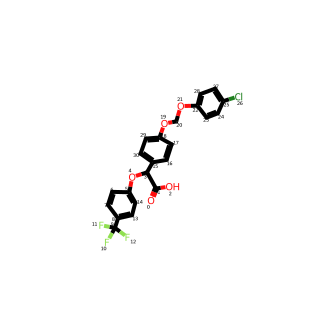 O=C(O)C(Oc1ccc(C(F)(F)F)cc1)c1ccc(OCOc2ccc(Cl)cc2)cc1